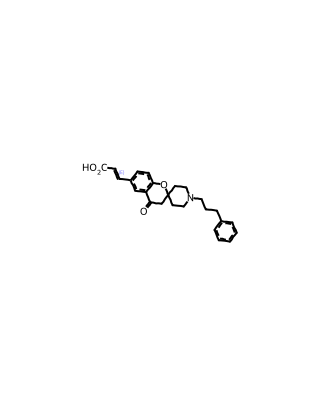 O=C(O)/C=C/c1ccc2c(c1)C(=O)CC1(CCN(CCCc3ccccc3)CC1)O2